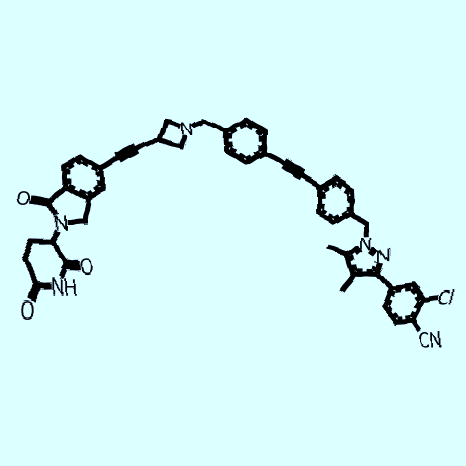 Cc1c(-c2ccc(C#N)c(Cl)c2)nn(Cc2ccc(C#Cc3ccc(CN4CC(C#Cc5ccc6c(c5)CN(C5CCC(=O)NC5=O)C6=O)C4)cc3)cc2)c1C